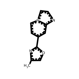 Cc1coc(-c2ccn3ccnc3c2)n1